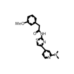 COc1cccc(CC(=O)Nc2nc(-c3ccnc(N(C)C)c3)cs2)c1